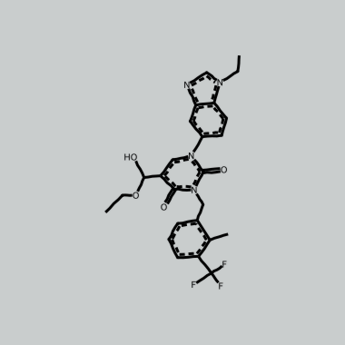 CCOC(O)c1cn(-c2ccc3c(c2)ncn3CC)c(=O)n(Cc2cccc(C(F)(F)F)c2C)c1=O